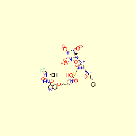 C#C[C@H]1CC(F)(F)CN1C(=O)CNC(=O)c1ccnc2ccc(OCCCC3CCN(C(=O)[C@H](O)CSCCNC(=O)C(CCCCNC(=O)CCCc4ccc(I)cc4)NC(=O)CN4CCN(COC=O)CCN(COC=O)CCN(CC(=O)O)CC4)CC3)cc12